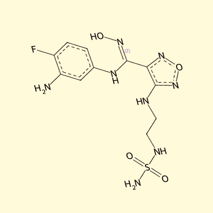 Nc1cc(N/C(=N\O)c2nonc2NCCNS(N)(=O)=O)ccc1F